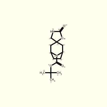 CC(C)(C)OC(=O)N1C2CCC1CC1(CNC(=O)O1)C2